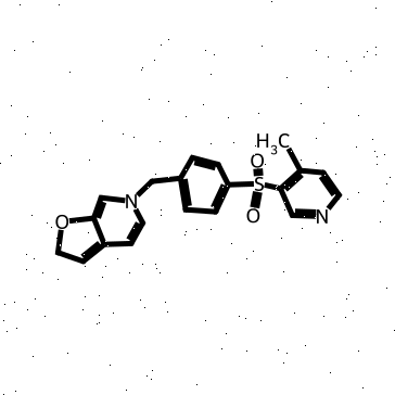 Cc1ccncc1S(=O)(=O)c1ccc(CN2C=CC3=CCOC3=C2)cc1